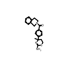 CC1(c2ccc(C(=O)N3CCc4ccccc4C3)cc2)CCSC(N)=N1